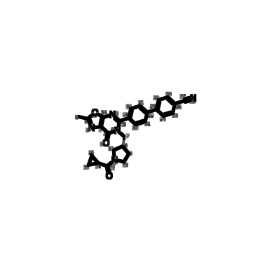 Cc1nc2c(=O)n(C[C@@H]3CCN(C(=O)C4CC4)C3)c(-c3ccc(-c4ccc(C#N)cc4)cc3)nc2o1